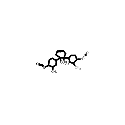 CC1CC(C2(C(=O)O)CC=CCC2(C(=O)O)C2CCC(N=C=O)C(C)C2)CCC1N=C=O